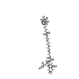 C=CCOC(=O)CCC(=O)N[C@@H](CC/C(O)=C1/CCC(C)(C)CC1=O)C(=O)NCCCOCCOCCOCCCNC(=O)CCCC[C@@H]1SC[C@@H]2NC(=O)N[C@@H]21